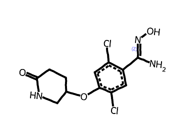 N/C(=N\O)c1cc(Cl)c(OC2CCC(=O)NC2)cc1Cl